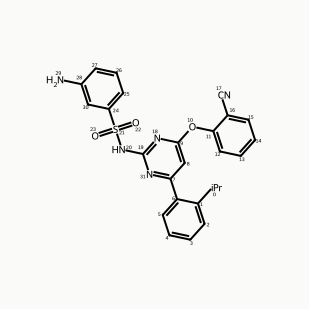 CC(C)c1ccccc1-c1cc(Oc2ccccc2C#N)nc(NS(=O)(=O)c2cccc(N)c2)n1